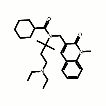 CCN(CC)CCC(C)(C)N(Cc1cc2ccccc2n(C)c1=O)C(=O)C1CCCCC1